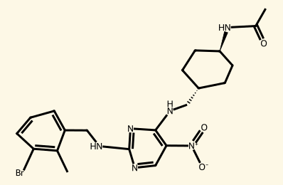 CC(=O)N[C@H]1CC[C@H](CNc2nc(NCc3cccc(Br)c3C)ncc2[N+](=O)[O-])CC1